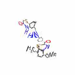 COc1ccc(C)c2sc(C(=O)[C@H]3CC[C@H](NCc4ccc5c(c4)NC(=O)CS5)CC3)nc12